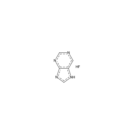 F.c1ncc2[nH]cnc2n1